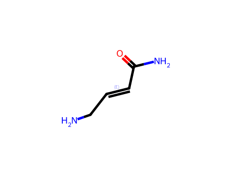 NC/C=C/C(N)=O